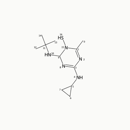 CC1=NC(NC2CC2)=NC(NC(C)(C)C)N1S